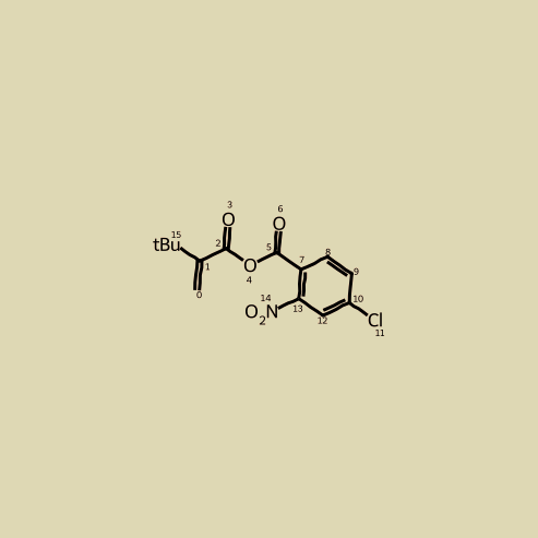 C=C(C(=O)OC(=O)c1ccc(Cl)cc1[N+](=O)[O-])C(C)(C)C